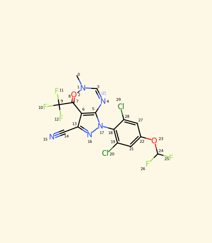 CN(C)/C=N\c1c(C(=O)C(F)(F)F)c(C#N)nn1-c1c(Cl)cc(OC(F)F)cc1Cl